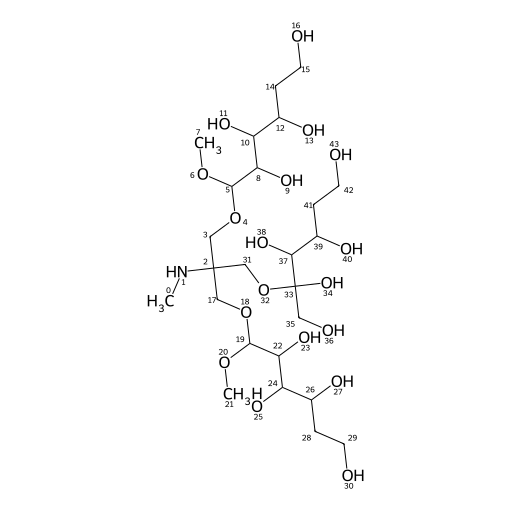 CNC(COC(OC)C(O)C(O)C(O)CCO)(COC(OC)C(O)C(O)C(O)CCO)COC(O)(CO)C(O)C(O)CCO